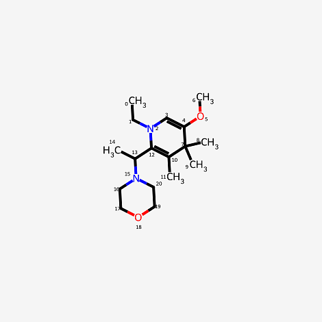 CCN1C=C(OC)C(C)(C)C(C)=C1C(C)N1CCOCC1